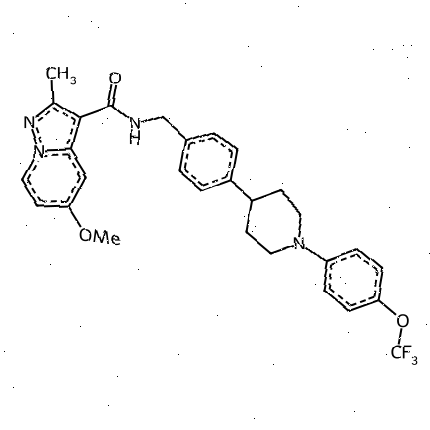 COc1ccn2nc(C)c(C(=O)NCc3ccc(C4CCN(c5ccc(OC(F)(F)F)cc5)CC4)cc3)c2c1